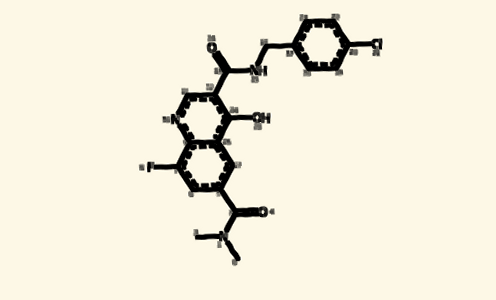 CN(C)C(=O)c1cc(F)c2ncc(C(=O)NCc3ccc(Cl)cc3)c(O)c2c1